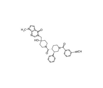 C#Cc1cccc(C(=O)N2CC[C@@H](C(=O)N3CCC(O)(Cn4cnc5c(ccn5C)c4=O)CC3)[C@H](c3ccccc3)C2)c1